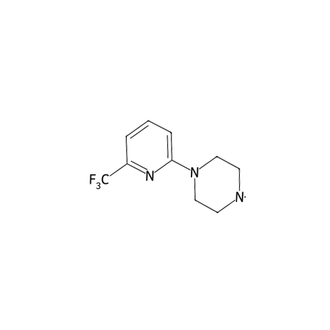 FC(F)(F)c1cccc(N2CC[N]CC2)n1